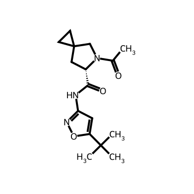 CC(=O)N1CC2(CC2)C[C@H]1C(=O)Nc1cc(C(C)(C)C)on1